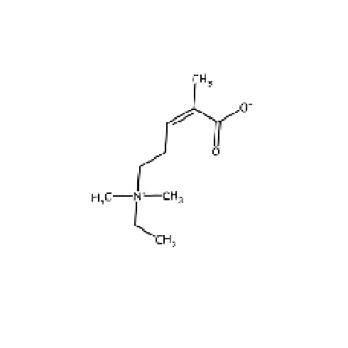 CC[N+](C)(C)CCC=C(C)C(=O)[O-]